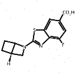 O=C(O)c1cc(F)c2nc(N3C[C@@H]4CCC43)sc2c1